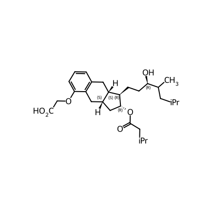 CC(C)CC(=O)O[C@@H]1C[C@@H]2Cc3c(cccc3OCC(=O)O)C[C@@H]2[C@H]1CC[C@@H](O)C(C)CC(C)C